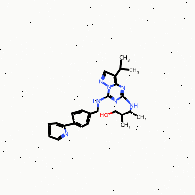 CC(C)c1cnn2c(NCc3ccc(-c4ccccn4)cc3)nc(NC(C)C(C)CO)nc12